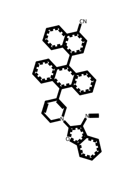 C=Nc1c(N2C=C(c3c4ccccc4c(-c4ccc(C#N)c5ccccc45)c4ccccc34)C=CC2)oc2ccccc12